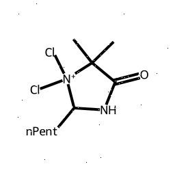 CCCCCC1NC(=O)C(C)(C)[N+]1(Cl)Cl